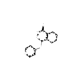 O=c1[nH]nc(Sc2ccncc2)c2ccccc12